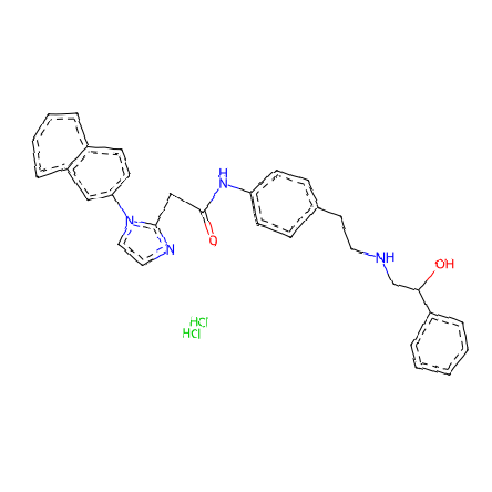 Cl.Cl.O=C(Cc1nccn1-c1ccc2ccccc2c1)Nc1ccc(CCNCC(O)c2ccccc2)cc1